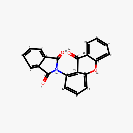 O=C1c2ccccc2C(=O)N1c1cccc2oc3ccccc3c(=O)c12